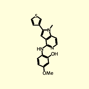 COc1ccc(Nc2nccc3c2cc(-c2ccsc2)n3C)c(O)c1